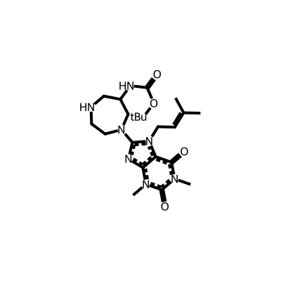 CC(C)=CCn1c(N2CCNCC(NC(=O)OC(C)(C)C)C2)nc2c1c(=O)n(C)c(=O)n2C